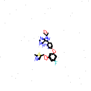 Cc1ncc(COc2cc(F)cc(Oc3ccc(-c4nn(C5COC5)c5ncnc(N)c45)cc3)c2)s1